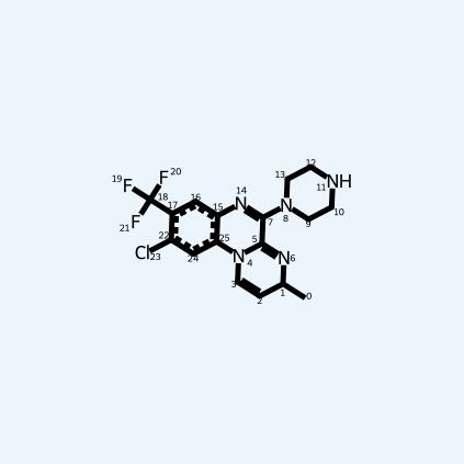 CC1C=CN2C(=N1)C(N1CCNCC1)=Nc1cc(C(F)(F)F)c(Cl)cc12